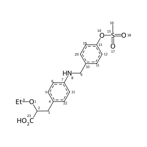 CCOC(Cc1ccc(NCc2ccc(OS(C)(=O)=O)cc2)cc1)C(=O)O